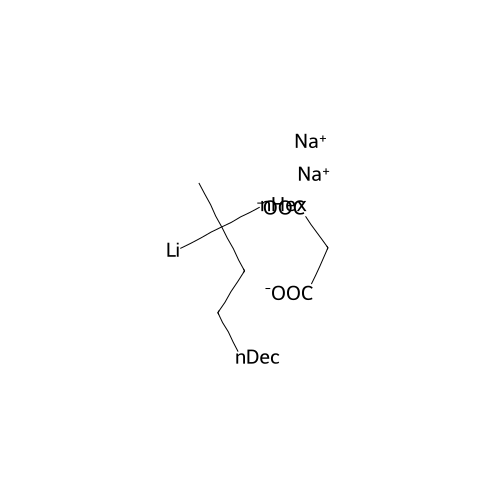 O=C([O-])CC(=O)[O-].[Li][C](C)(CCCCCC)CCCCCCCCCCCC.[Na+].[Na+]